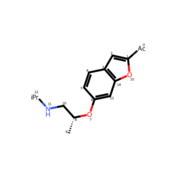 CC(=O)c1cc2ccc(O[C@H](C)CNC(C)C)cc2o1